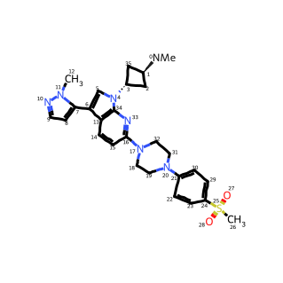 CN[C@H]1C[C@H](n2cc(-c3ccnn3C)c3ccc(N4CCN(c5ccc(S(C)(=O)=O)cc5)CC4)nc32)C1